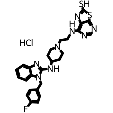 Cl.Fc1ccc(Cn2c(NC3CCN(CCNc4ncnc5sc(S)nc45)CC3)nc3ccccc32)cc1